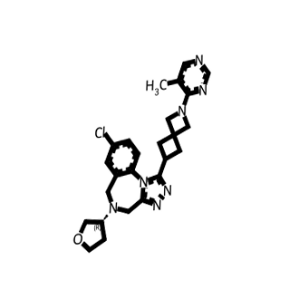 Cc1cncnc1N1CC2(CC(c3nnc4n3-c3ccc(Cl)cc3CN([C@@H]3CCOC3)C4)C2)C1